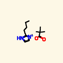 CC(C)(C)C(=O)[O-].CCCCc1[nH]cc[n+]1C